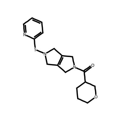 O=C(C1CCCOC1)N1CC2=C(CN(Sc3ccccn3)C2)C1